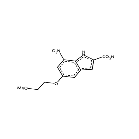 COCCOc1cc([N+](=O)[O-])c2[nH]c(C(=O)O)cc2c1